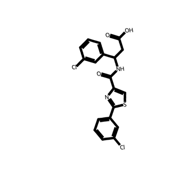 O=C(O)CC(NC(=O)c1csc(-c2cccc(Cl)c2)n1)c1cccc(Cl)c1